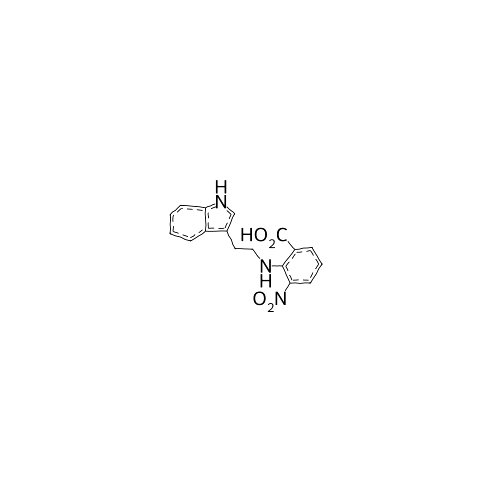 O=C(O)c1cccc([N+](=O)[O-])c1NCCc1c[nH]c2ccccc12